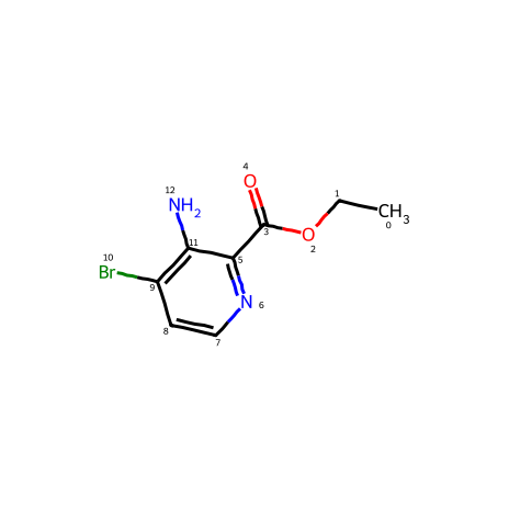 CCOC(=O)c1nccc(Br)c1N